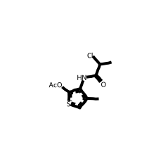 CC(=O)Oc1scc(C)c1NC(=O)C(C)Cl